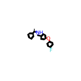 C[C@@H](NCc1ccc(Oc2ccc(F)cc2)cc1)c1ccccc1